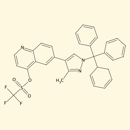 Cc1nn(C(c2ccccc2)(c2ccccc2)C2C=CC=CC2)cc1-c1ccc2nccc(OS(=O)(=O)C(F)(F)F)c2c1